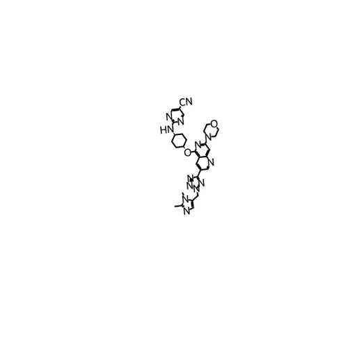 Cc1ncc(Cn2nnc(-c3cnc4cc(N5CCOCC5)nc(O[C@H]5CC[C@@H](Nc6ncc(C#N)cn6)CC5)c4c3)n2)n1C